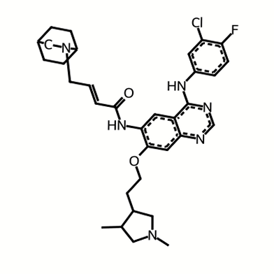 CC1CN(C)CC1CCOc1cc2ncnc(Nc3ccc(F)c(Cl)c3)c2cc1NC(=O)/C=C/CN1CC2CCC1CC2